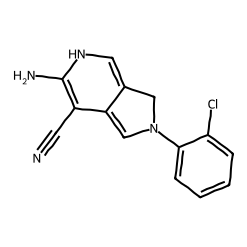 N#CC1=C(N)NC=C2CN(c3ccccc3Cl)C=C21